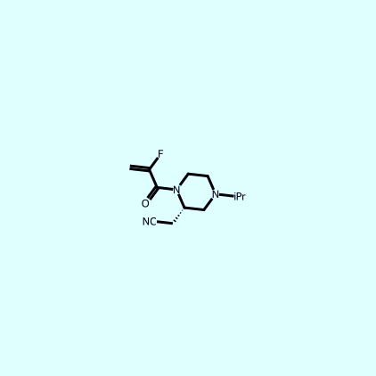 C=C(F)C(=O)N1CCN(C(C)C)C[C@@H]1CC#N